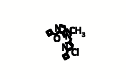 CN1C2C=CN=C(C(=O)C3CCC3)C2=CN1Cc1cnc(C2CCC2)c(Cl)c1